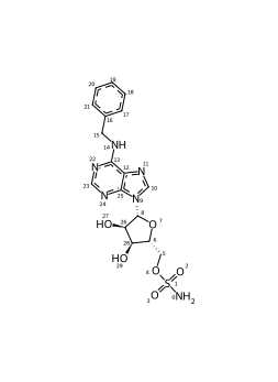 NS(=O)(=O)OC[C@H]1O[C@@H](n2cnc3c(NCc4ccccc4)ncnc32)[C@H](O)[C@@H]1O